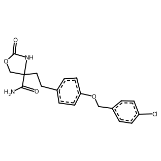 NC(=O)C1(CCc2ccc(OCc3ccc(Cl)cc3)cc2)COC(=O)N1